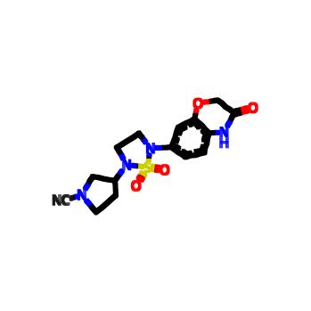 N#CN1CCC(N2CCN(c3ccc4c(c3)OCC(=O)N4)S2(=O)=O)C1